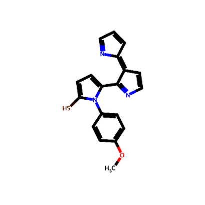 COc1ccc(-n2c(S)ccc2C2=NC=CC2=C2C=CC=N2)cc1